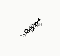 OC[C@H]1CCCN(c2nccc(Nc3cc(C4CC4)[nH]n3)n2)C1